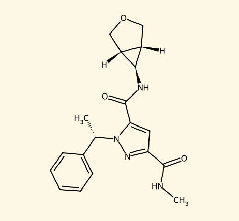 CNC(=O)c1cc(C(=O)N[C@H]2[C@@H]3COC[C@@H]32)n([C@@H](C)c2ccccc2)n1